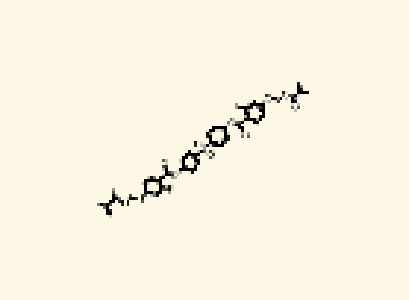 C=C(C)C(=O)OCOc1ccc(C(=O)Oc2ccc(S(=O)(=O)c3ccc(OC(=O)c4ccc(OCOC(=O)C(=C)C)cc4F)cc3)cc2)c(F)c1